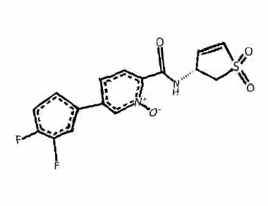 O=C(N[C@@H]1C=CS(=O)(=O)C1)c1ccc(-c2ccc(F)c(F)c2)c[n+]1[O-]